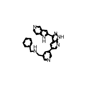 c1ccc(CNCc2cncc(-c3cnc4[nH]nc(-c5cc6cnccc6[nH]5)c4c3)c2)cc1